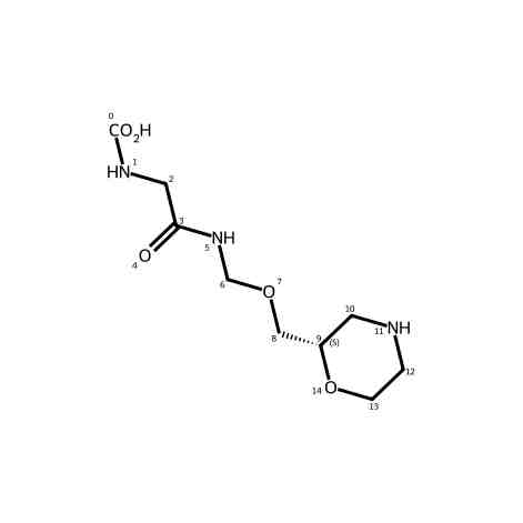 O=C(O)NCC(=O)NCOC[C@@H]1CNCCO1